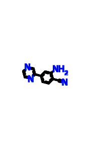 N#Cc1ccc(-c2cnccn2)cc1N